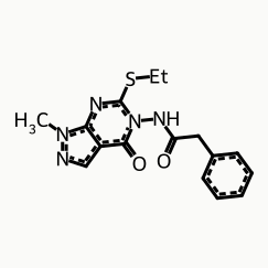 CCSc1nc2c(cnn2C)c(=O)n1NC(=O)Cc1ccccc1